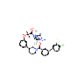 CC(C)(Oc1cccc(C2CCCN(C(=O)c3cccc(-c4ccc(F)c(F)c4)c3)C2)c1)C(=O)N1C[C@H]2C[C@@H]1CN2